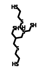 SCCSCC(CS)C[SH](CS)CSCCS